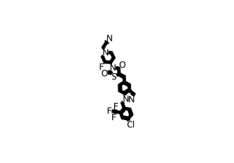 N#CCN1CC[C@@H](N2C(=O)S/C(=C\c3ccc4c(cnn4Cc4ccc(Cl)cc4C(F)(F)F)c3)C2=O)[C@H](F)C1